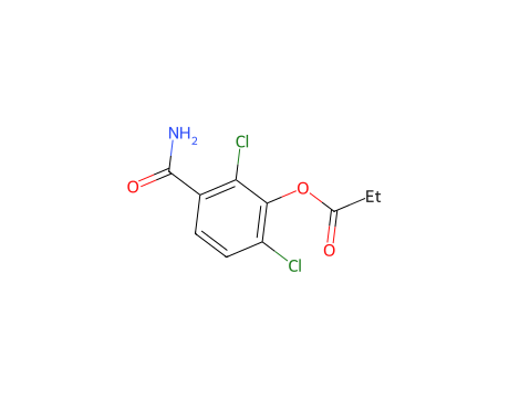 CCC(=O)Oc1c(Cl)ccc(C(N)=O)c1Cl